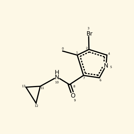 Cc1c(Br)cncc1C(=O)NC1CC1